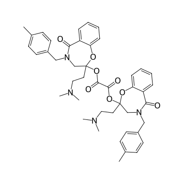 Cc1ccc(CN2CC(CCN(C)C)(OC(=O)C(=O)OC3(CCN(C)C)CN(Cc4ccc(C)cc4)C(=O)c4ccccc4O3)Oc3ccccc3C2=O)cc1